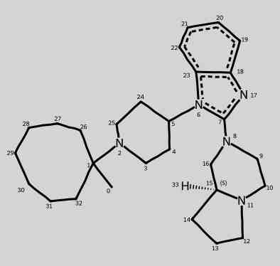 CC1(N2CCC(n3c(N4CCN5CCC[C@H]5C4)nc4ccccc43)CC2)CCCCCCC1